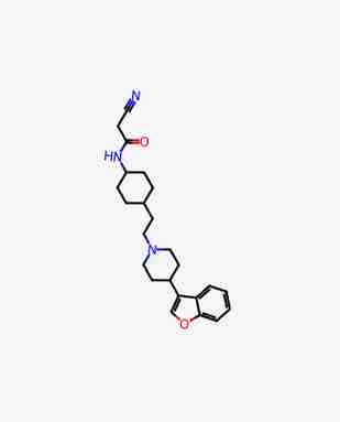 N#CCC(=O)NC1CCC(CCN2CCC(c3coc4ccccc34)CC2)CC1